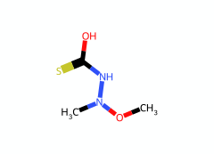 CON(C)NC(O)=S